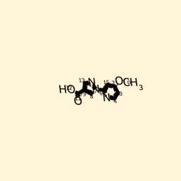 COc1ccnc(-n2cc(C(=O)O)cn2)c1